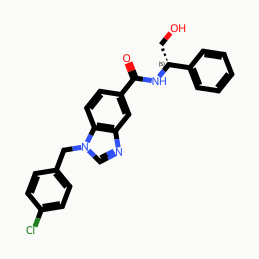 O=C(N[C@H](CO)c1ccccc1)c1ccc2c(c1)ncn2Cc1ccc(Cl)cc1